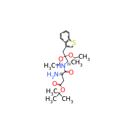 CCOC(Cc1csc2ccccc12)(OCC)[C@H](C)NC(=O)[C@@H](N)CC(=O)OC(C)(C)C